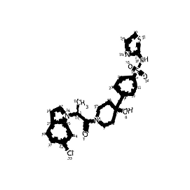 C[C@@H](C(=O)N1CCC(O)(c2ccc(S(=O)(=O)Nc3nccs3)cc2)CC1)n1ccc2ccc(Cl)cc21